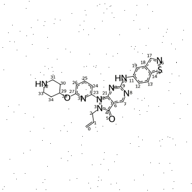 C=CCn1c(=O)c2cnc(Nc3ccc4sncc4c3)nc2n1-c1cccc(OC2CCNCC2)n1